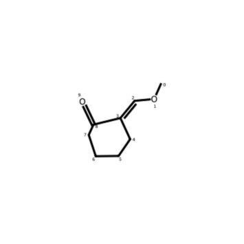 COC=C1CCCCC1=O